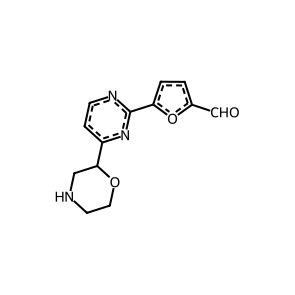 O=Cc1ccc(-c2nccc(C3CNCCO3)n2)o1